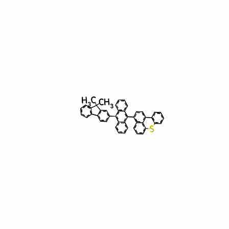 CC1(C)c2ccccc2-c2ccc(-c3c4ccccc4c(-c4ccc5c6c(cccc46)Sc4ccccc4-5)c4ccccc34)cc21